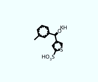 Cc1cccc(C(=O)c2csc(S(=O)(=O)O)c2)c1.[KH]